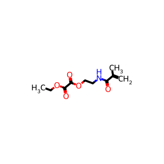 C=C(C)C(=O)NCCOC(=O)C(=O)OCC